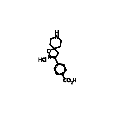 Cl.O=C(O)c1ccc(C2=NOC3(CCNCC3)C2)cc1